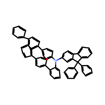 c1ccc(-c2ccc(-c3ccc(N(c4ccc5c(c4)C(c4ccccc4)(c4ccccc4)c4ccccc4-5)c4ccccc4-c4ccc(-c5ccccc5)cc4)cc3)cc2)cc1